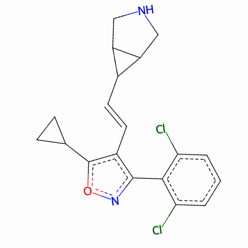 Clc1cccc(Cl)c1-c1noc(C2CC2)c1C=CC1C2CNCC12